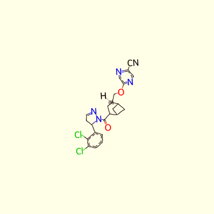 N#Cc1cnc(OC[C@@H]2CC(C(=O)N3N=CCC3c3cccc(Cl)c3Cl)C3CC2C3)cn1